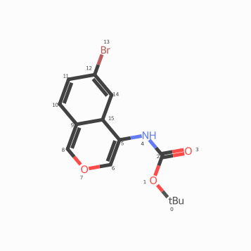 CC(C)(C)OC(=O)NC1=COC=C2C=CC(Br)=CC21